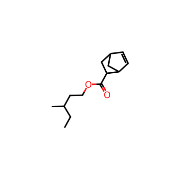 CCC(C)CCOC(=O)C1CC2C=CC1C2